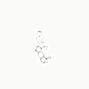 CC1=CCC2(CCN(c3nc(C)c(Sc4ccnc(N)c4Cl)nc3C3(O)CC3)CC2)C1